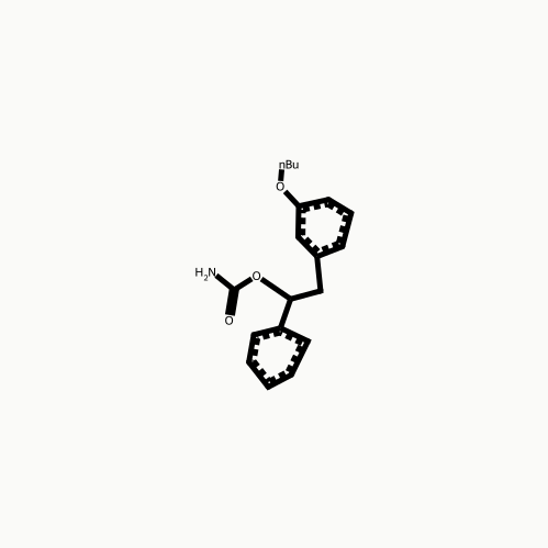 CCCCOc1cccc(CC(OC(N)=O)c2ccccc2)c1